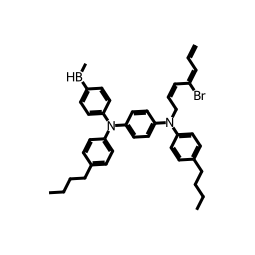 C=C/C=C(Br)\C=C/CN(c1ccc(CCCC)cc1)c1ccc(N(c2ccc(BC)cc2)c2ccc(CCCC)cc2)cc1